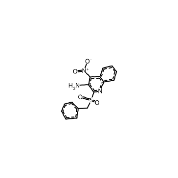 Nc1c(S(=O)(=O)Cc2ccccc2)nc2ccccc2c1[N+](=O)[O-]